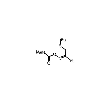 CCC(CSC(C)CC)=NOC(=O)NC